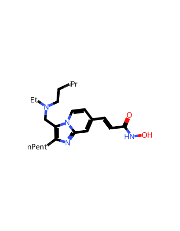 CCCCCc1nc2cc(C=CC(=O)NO)ccn2c1CN(CC)CCC(C)C